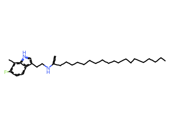 C=C(CCCCCCCCCCCCCCCCCCC)NCCc1c[nH]c2c(C)c(F)ccc12